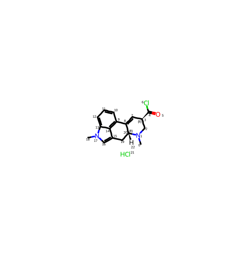 CN1C[C@H](C(=O)Cl)C=C2c3cccc4c3c(cn4C)C[C@H]21.Cl